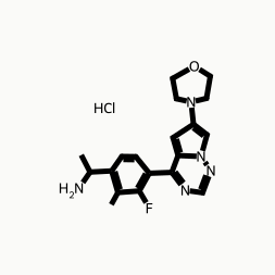 Cc1c(C(C)N)ccc(-c2ncnn3cc(N4CCOCC4)cc23)c1F.Cl